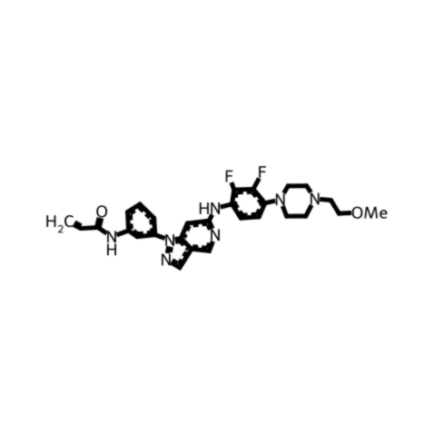 C=CC(=O)Nc1cccc(-n2ncc3cnc(Nc4ccc(N5CCN(CCOC)CC5)c(F)c4F)cc32)c1